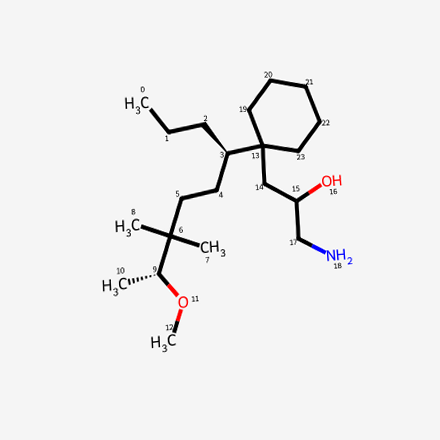 CCC[C@H](CCC(C)(C)[C@@H](C)OC)C1(CC(O)CN)CCCCC1